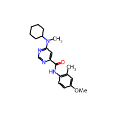 COc1ccc(NC(=O)c2cc(N(C)C3CCCCC3)ncn2)c(C)c1